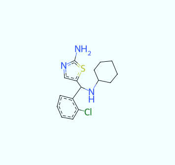 Nc1ncc(C(NC2CCCCC2)c2ccccc2Cl)s1